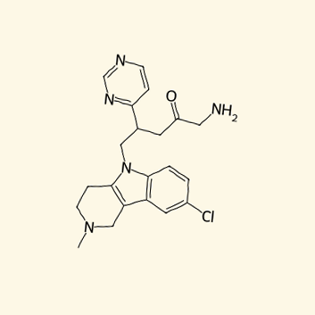 CN1CCc2c(c3cc(Cl)ccc3n2CC(CC(=O)CN)c2ccncn2)C1